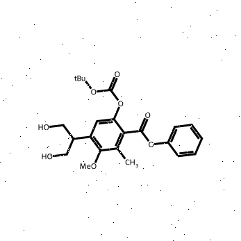 COc1c(C(CO)CO)cc(OC(=O)OC(C)(C)C)c(C(=O)Oc2ccccc2)c1C